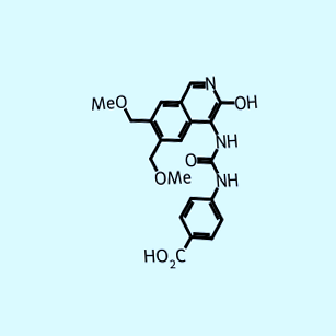 COCc1cc2cnc(O)c(NC(=O)Nc3ccc(C(=O)O)cc3)c2cc1COC